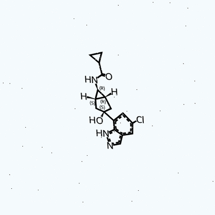 O=C(N[C@H]1[C@@H]2C[C@](O)(c3cc(Cl)cc4cn[nH]c34)C[C@@H]21)C1CC1